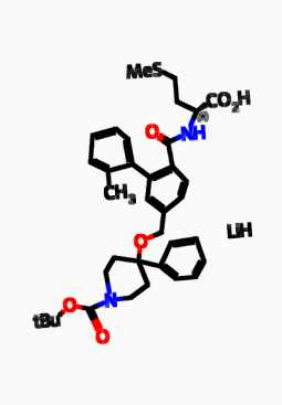 CSCC[C@H](NC(=O)c1ccc(COC2(c3ccccc3)CCN(C(=O)OC(C)(C)C)CC2)cc1-c1ccccc1C)C(=O)O.[LiH]